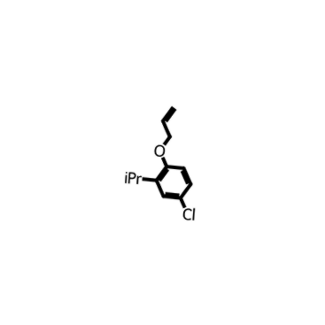 C=CCOc1ccc(Cl)cc1C(C)C